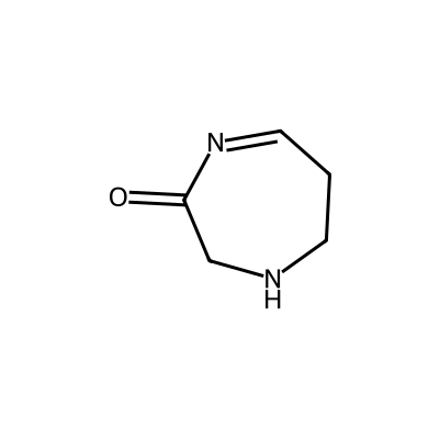 O=C1CNCCC=N1